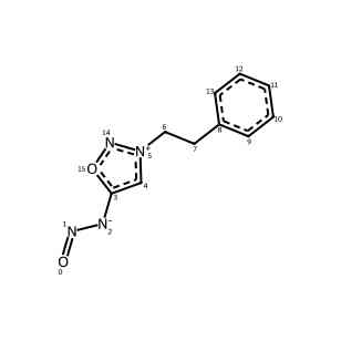 O=N[N-]c1c[n+](CCc2ccccc2)no1